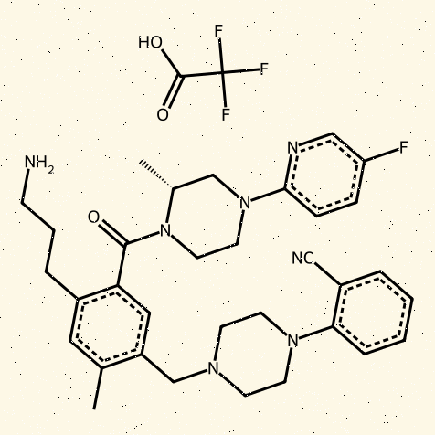 Cc1cc(CCCN)c(C(=O)N2CCN(c3ccc(F)cn3)C[C@H]2C)cc1CN1CCN(c2ccccc2C#N)CC1.O=C(O)C(F)(F)F